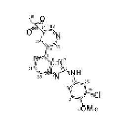 COc1ccc(Nc2nc3c(-c4cncc(S(C)(=O)=O)c4)nccn3n2)cc1Cl